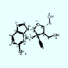 C#CC1(N)C(CO)[C@@H](CO)O[C@H]1n1cnc2cnc(N)nc21